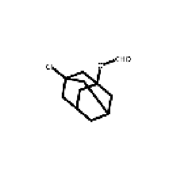 O=COC12CC3CC(CC(Cl)(C3)C1)C2